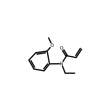 C=CC(=O)N(CC)c1ccccc1OC